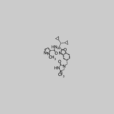 Cn1nccc1C(=O)N[C@@H](c1nc2cc(CN3C[C@@H](C(F)(F)F)NC3=O)ccc2o1)C(C1CC1)C1CC1